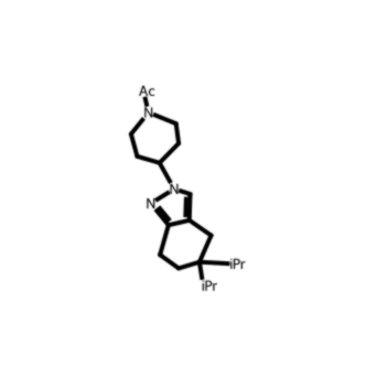 CC(=O)N1CCC(n2cc3c(n2)CCC(C(C)C)(C(C)C)C3)CC1